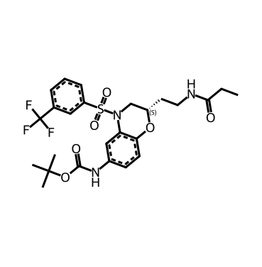 CCC(=O)NCC[C@H]1CN(S(=O)(=O)c2cccc(C(F)(F)F)c2)c2cc(NC(=O)OC(C)(C)C)ccc2O1